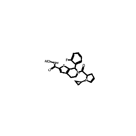 O=C(NO)c1cc2c(s1)C(c1ccccc1F)N(C(=O)C1CC=CN1C1CC1)CC2